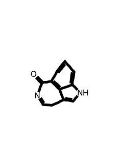 O=C1N=CCc2c[nH]c3cccc1c23